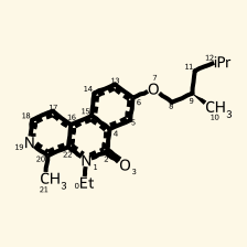 CCn1c(=O)c2cc(OC[C@H](C)CC(C)C)ccc2c2ccnc(C)c21